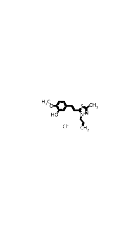 C=CC[n+]1nc(C)sc1C=Cc1ccc(OC)c(O)c1.[Cl-]